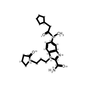 CN(C(=O)CC1CCCC1)c1ccc2c(c1)nc(C(N)=O)n2CCCN1CCCC1=O